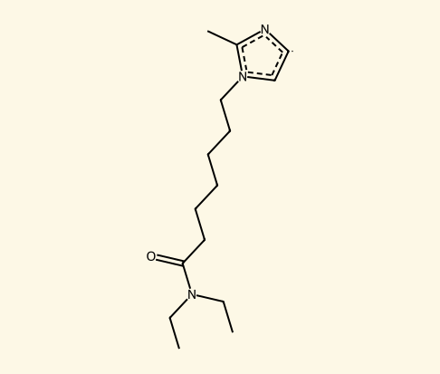 CCN(CC)C(=O)CCCCCCn1c[c]nc1C